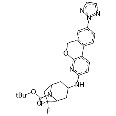 CC(C)(C)OC(=O)N1C2CC(Nc3ccc4c(n3)OCc3cc(-n5nccn5)ccc3-4)CC1C(F)(F)C2